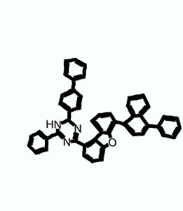 c1ccc(C2=NC(c3cccc4oc5c(-c6ccc(-c7ccccc7)c7ccccc67)cccc5c34)=NC(c3ccc(-c4ccccc4)cc3)N2)cc1